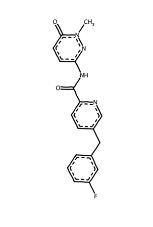 Cn1nc(NC(=O)c2ccc(Cc3cccc(F)c3)cn2)ccc1=O